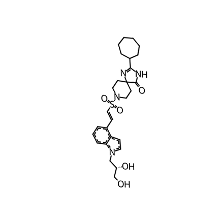 O=C1NC(C2CCCCCC2)=NC12CCN(S(=O)(=O)/C=C/c1cccc3c1ccn3C[C@H](O)CO)CC2